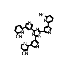 N#Cc1ccnc(-c2cncc(-c3nc(-c4cncc(-c5cccc(C#N)n5)c4)nc(-c4cncc(-c5cccc(C#N)n5)c4)n3)c2)c1